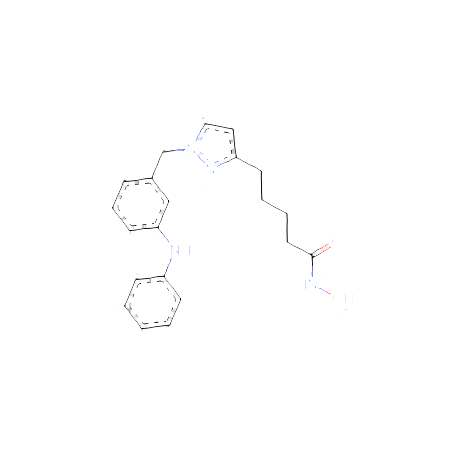 O=C(CCCCc1ccn(Cc2cccc(Nc3ccccc3)c2)n1)NO